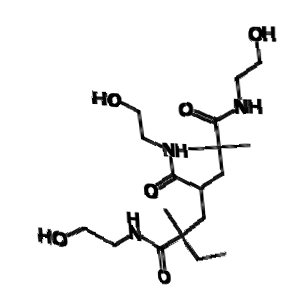 CCC(C)(CC(CC(C)(C)C(=O)NCCO)C(=O)NCCO)C(=O)NCCO